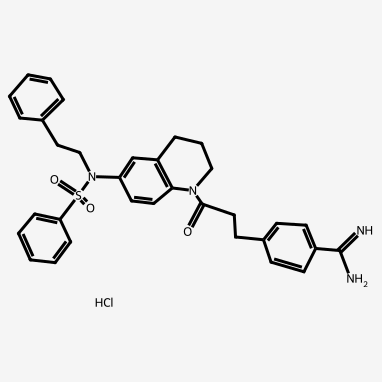 Cl.N=C(N)c1ccc(CCC(=O)N2CCCc3cc(N(CCc4ccccc4)S(=O)(=O)c4ccccc4)ccc32)cc1